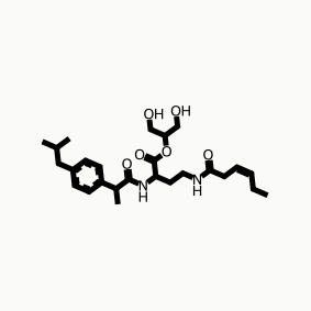 CC/C=C\CC(=O)NCCC(NC(=O)C(C)c1ccc(CC(C)C)cc1)C(=O)OC(CO)CO